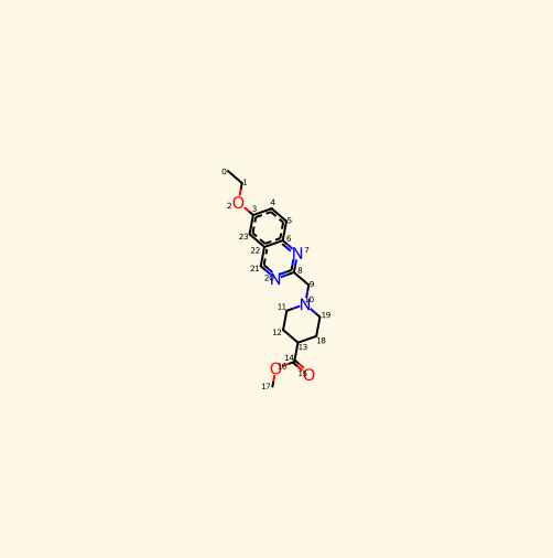 CCOc1ccc2nc(CN3CCC(C(=O)OC)CC3)ncc2c1